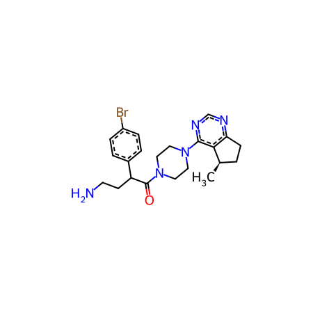 C[C@@H]1CCc2ncnc(N3CCN(C(=O)C(CCN)c4ccc(Br)cc4)CC3)c21